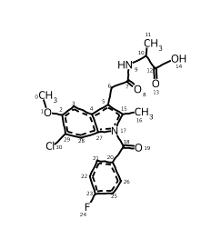 COc1cc2c(CC(=O)NC(C)C(=O)O)c(C)n(C(=O)c3ccc(F)cc3)c2cc1Cl